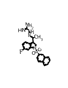 CC(=NNC(=N)N)c1cn(S(=O)(=O)c2ccc3ccccc3c2)c2cc(F)ccc12